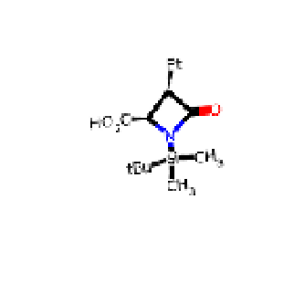 CC[C@H]1C(=O)N([Si](C)(C)C(C)(C)C)[C@H]1C(=O)O